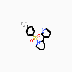 O=S(=O)(c1ccc(C(F)(F)F)cc1)N1CCCCC1c1cccnc1